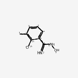 Cc1cccc(C(=N)NO)c1Cl